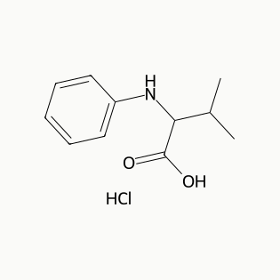 CC(C)C(Nc1ccccc1)C(=O)O.Cl